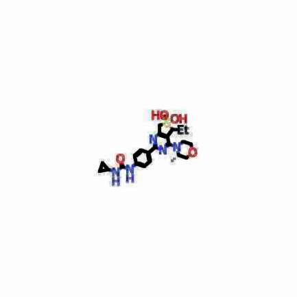 CCC1c2c(nc(-c3ccc(NC(=O)NC4CC4)cc3)nc2N2CCOC[C@@H]2C)CS1(O)O